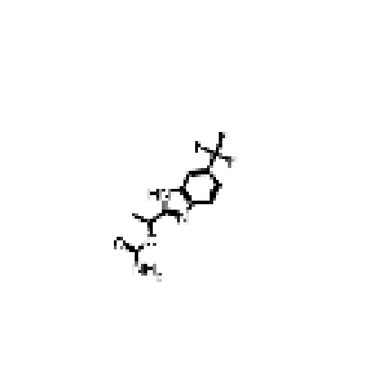 CC(OC(N)=O)c1nc2ccc(C(F)(F)F)cc2[nH]1